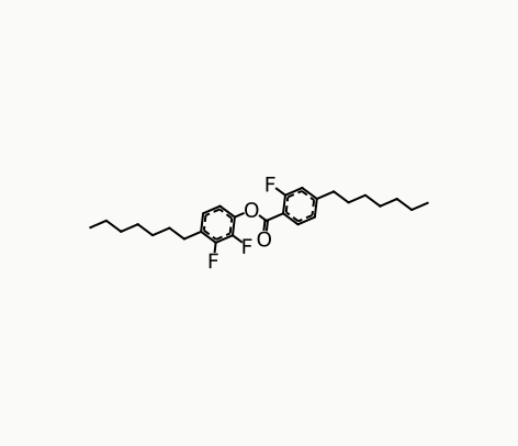 CCCCCCCc1ccc(C(=O)Oc2ccc(CCCCCCC)c(F)c2F)c(F)c1